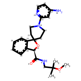 COC(C)(C)CNC(=O)[C@@H]1OC2(CCN(c3cc(N)ccn3)CC2)c2ccccc21